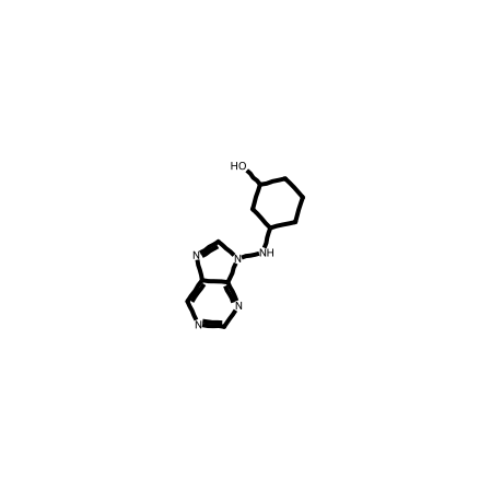 OC1CCCC(Nn2cnc3cncnc32)C1